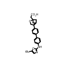 CC(C)(C)c1cnc(Nc2ccc(-c3ccc(C4=C5CC(CC(=O)O)(C5)OC4)cc3)cc2)o1